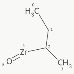 CC[CH](C)[Zr]=[O]